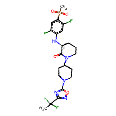 CC(F)(F)c1noc(N2CCC(N3CCC[C@H](Nc4cc(F)c(S(C)(=O)=O)cc4F)C3=O)CC2)n1